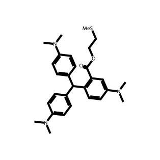 CSCCOC(=O)c1cc(N(C)C)ccc1C(c1ccc(N(C)C)cc1)c1ccc(N(C)C)cc1